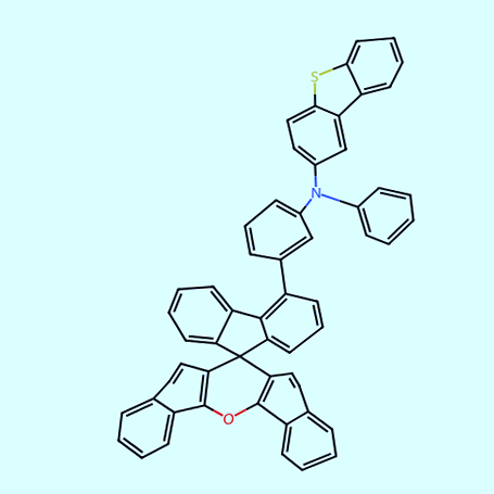 c1ccc(N(c2cccc(-c3cccc4c3-c3ccccc3C43c4ccc5ccccc5c4Oc4c3ccc3ccccc43)c2)c2ccc3sc4ccccc4c3c2)cc1